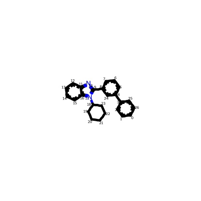 c1ccc(-c2cccc(-c3nc4ccccc4n3C3CCCCC3)c2)cc1